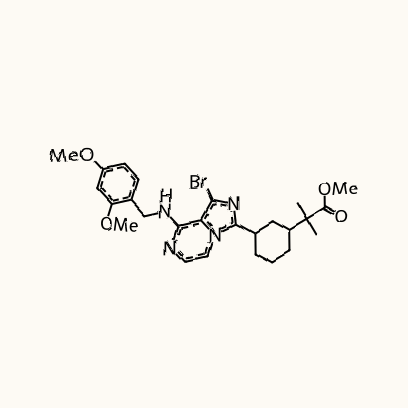 COC(=O)C(C)(C)C1CCCC(c2nc(Br)c3c(NCc4ccc(OC)cc4OC)nccn23)C1